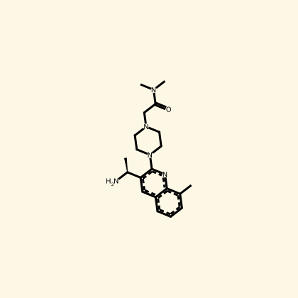 Cc1cccc2cc([C@H](C)N)c(N3CCN(CC(=O)N(C)C)CC3)nc12